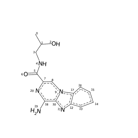 CC(O)CNC(=O)c1cn2c(nc3ccccc32)c(N)n1